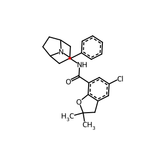 CC1(C)Cc2cc(Cl)cc(C(=O)NC3CC4CCC(C3)N4Cc3ccccc3)c2O1